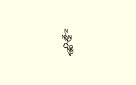 C#CCN(c1cccc(-c2ccnc3c(C#N)ncn23)c1)S(C)(=O)=O